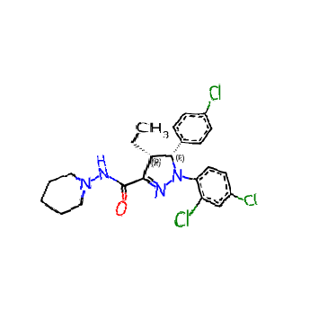 CC[C@H]1C(C(=O)NN2CCCCC2)=NN(c2ccc(Cl)cc2Cl)[C@H]1c1ccc(Cl)cc1